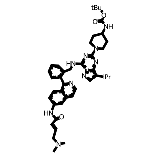 CC(C)c1cnn2c(NCc3ccccc3-c3nccc4cc(NC(=O)/C=C/CN(C)C)ccc34)nc(N3CCC(NC(=O)OC(C)(C)C)CC3)nc12